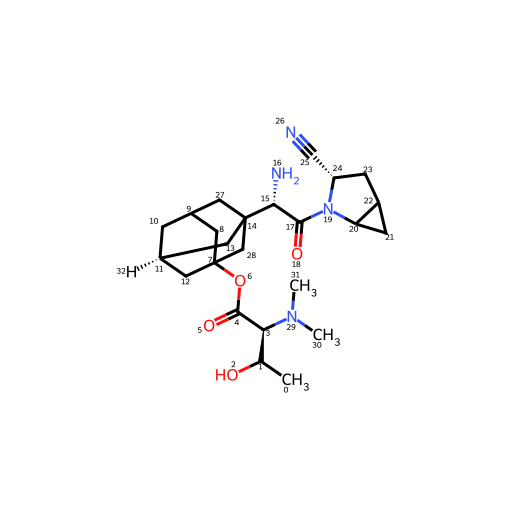 CC(O)[C@@H](C(=O)OC12CC3C[C@H](C1)CC([C@H](N)C(=O)N1C4CC4C[C@H]1C#N)(C3)C2)N(C)C